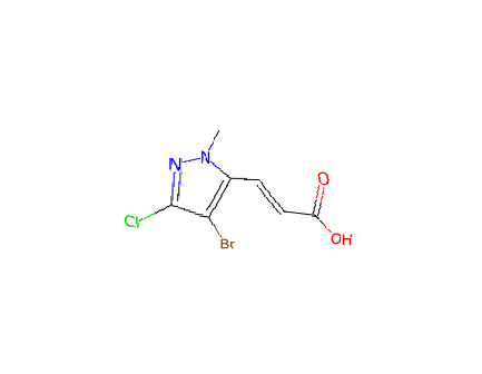 Cn1nc(Cl)c(Br)c1/C=C/C(=O)O